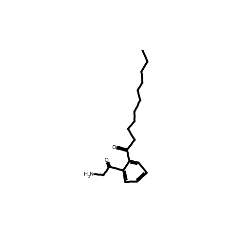 CCCCCCCCCCC(=O)c1ccccc1C(=O)CN